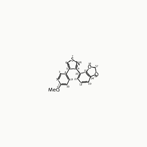 COc1ccc(-c2csnc2-c2cccc3c2OCO3)cc1